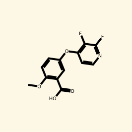 COc1ccc(Oc2ccnc(F)c2F)cc1C(=O)O